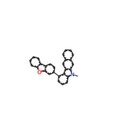 Cn1c2cc3ccccc3cc2c2c(-c3ccc4c(c3)oc3ccccc34)cccc21